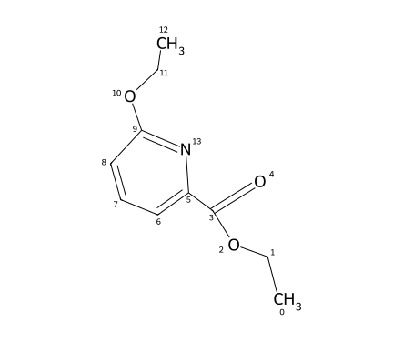 CCOC(=O)c1cccc(OCC)n1